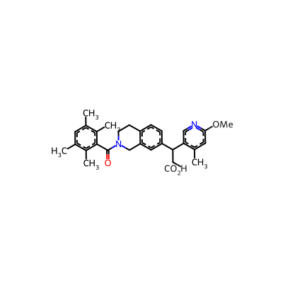 COc1cc(C)c(C(CC(=O)O)c2ccc3c(c2)CN(C(=O)c2c(C)c(C)cc(C)c2C)CC3)cn1